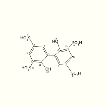 O=S(=O)(O)c1cc(-c2cc(S(=O)(=O)O)cc(S(=O)(=O)O)c2O)c(O)c(S(=O)(=O)O)c1